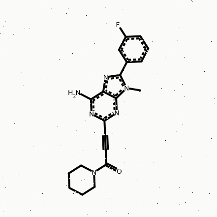 Cn1c(-c2cccc(F)c2)nc2c(N)nc(C#CC(=O)N3CCCCC3)nc21